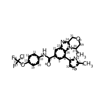 Cc1nc(-c2cc(C(=O)Nc3ccc(OC(F)(F)Cl)cc3)cc3nc4n(c23)[C@H](C)COC4)cs1